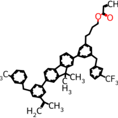 C=CC(=O)OCCCCc1cc(Cc2cccc(C(F)(F)F)c2)cc(-c2ccc3c(c2)C(C)(C)c2cc(-c4cc(Cc5cccc(C(F)(F)F)c5)cc(C(=C)C)c4)ccc2-3)c1